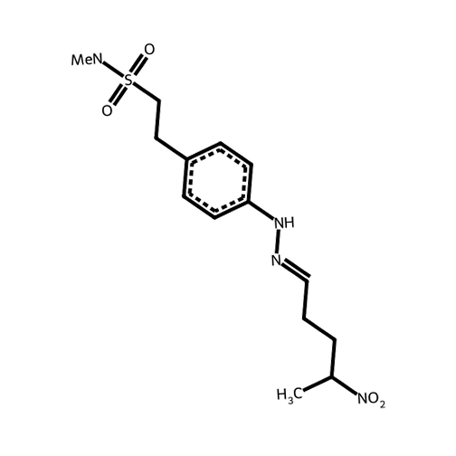 CNS(=O)(=O)CCc1ccc(NN=CCCC(C)[N+](=O)[O-])cc1